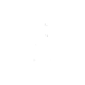 [N-]=[N+]=CS(=O)(=O)O